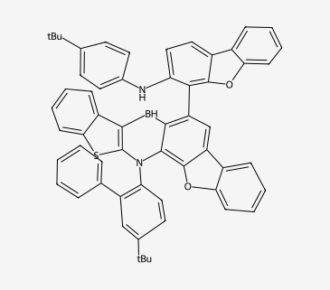 CC(C)(C)c1ccc(Nc2ccc3c(oc4ccccc43)c2-c2cc3c(oc4ccccc43)c3c2Bc2c(sc4ccccc24)N3c2ccc(C(C)(C)C)cc2-c2ccccc2)cc1